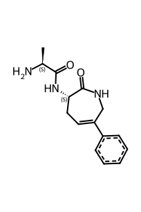 C[C@H](N)C(=O)N[C@H]1CC=C(c2ccccc2)CNC1=O